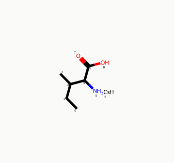 CCC(C)C(N)C(=O)O.[CsH]